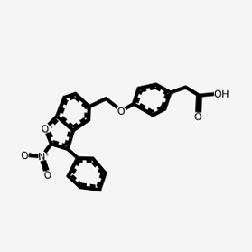 O=C(O)Cc1ccc(OCc2ccc3oc([N+](=O)[O-])c(-c4ccccc4)c3c2)cc1